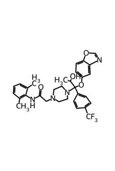 Cc1cccc(C)c1NC(=O)CN1CCN(C(Oc2ccc3ocnc3c2)(c2ccc(C(F)(F)F)cc2)C(C)O)CC1